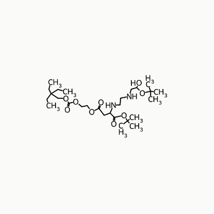 CCC(CC)(CC)COC(=O)OCCOC(=O)CC(NCCNCC(O)OC(C)(C)C)C(=O)OC(C)(C)C